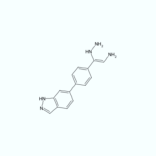 N/C=C(\NN)c1ccc(-c2ccc3cn[nH]c3c2)cc1